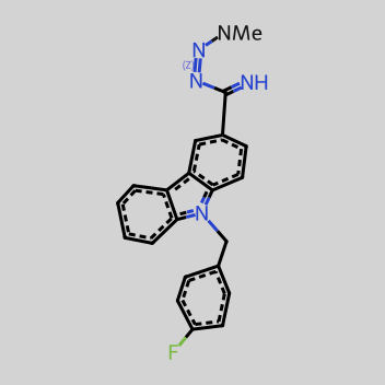 CN/N=N\C(=N)c1ccc2c(c1)c1ccccc1n2Cc1ccc(F)cc1